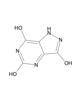 Oc1nc(O)c2[nH]nc(O)c2n1